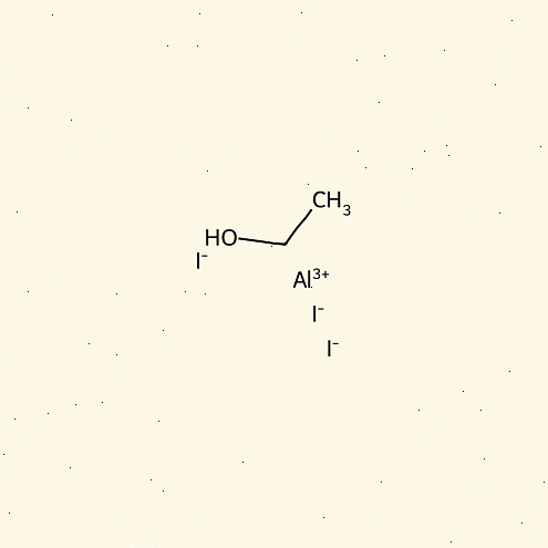 CCO.[Al+3].[I-].[I-].[I-]